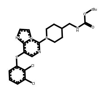 CC(C)(C)OC(=O)NCC1CCN(c2ncc(Sc3cccc(Cl)c3Cl)c3nccn23)CC1